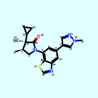 C[C@@H]1CN(c2cc(-c3cnn(C)c3)cc3ncsc23)C(=O)[C@]1(C#N)C1CC1